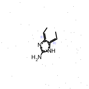 C/C=c1/nc(N)[nH]/c1=C/C